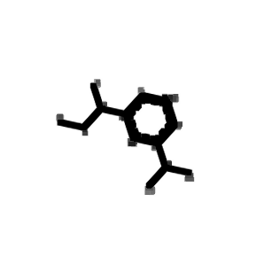 CCC(C)c1cncc(C(C)C)c1